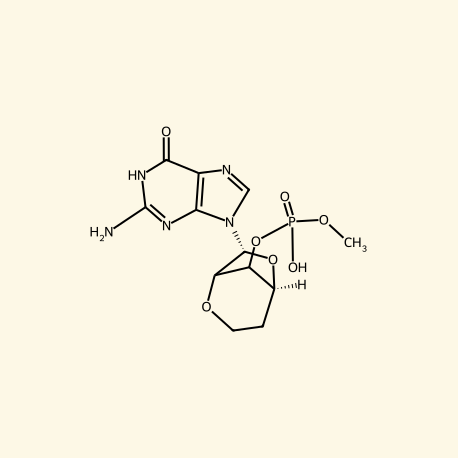 COP(=O)(O)OC1C2OCC[C@@H]1O[C@H]2n1cnc2c(=O)[nH]c(N)nc21